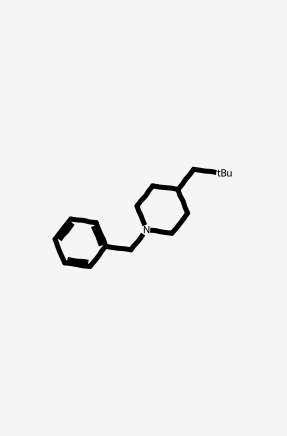 CC(C)(C)CC1CCN(Cc2ccccc2)CC1